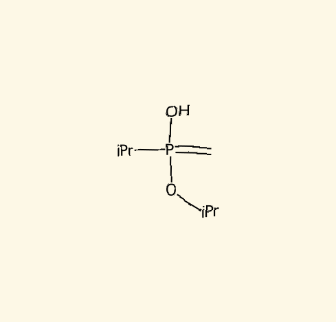 C=P(O)(OC(C)C)C(C)C